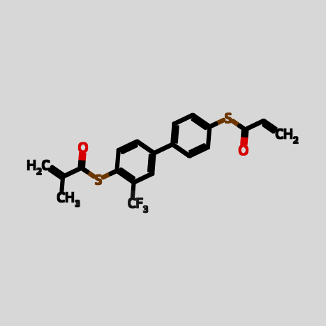 C=CC(=O)Sc1ccc(-c2ccc(SC(=O)C(=C)C)c(C(F)(F)F)c2)cc1